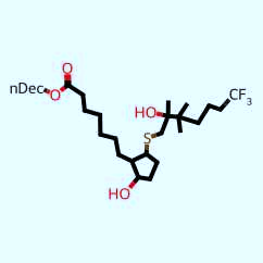 CCCCCCCCCCOC(=O)CCCCCCC1C(O)CCC1SCC(C)(O)C(C)(C)CCCC(F)(F)F